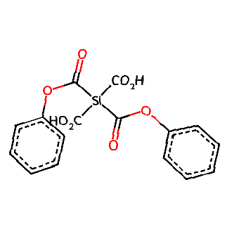 O=C(O)[Si](C(=O)O)(C(=O)Oc1ccccc1)C(=O)Oc1ccccc1